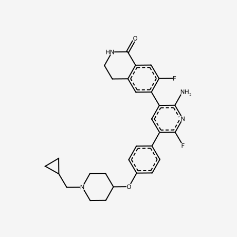 Nc1nc(F)c(-c2ccc(OC3CCN(CC4CC4)CC3)cc2)cc1-c1cc2c(cc1F)C(=O)NCC2